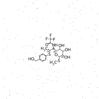 CSC1O[C@H]([C@H](NC(=O)C(F)(F)F)[C@H](C)Sc2ccc(CO)cc2)C(O)C(O)[C@H]1O